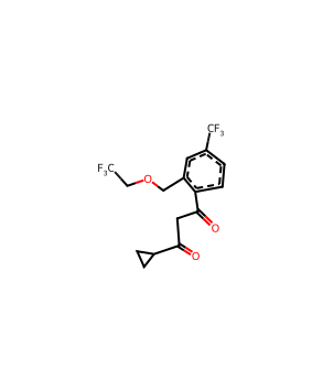 O=C(CC(=O)C1CC1)c1ccc(C(F)(F)F)cc1COCC(F)(F)F